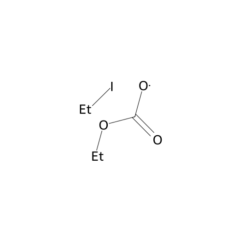 CCI.CCOC([O])=O